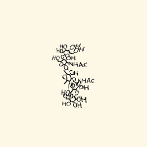 CC(=O)NC1[C@H](OCC2OC(C)C(NC(C)=O)[C@@H](O[C@@H]3OC(CO)[C@@H](O[C@@H]4OC(CO)[C@H](O)[C@H](O)C4O)[C@H](O)C3NC(C)=O)[C@H]2O)OC(CO)[C@@H](O[C@@H]2OC(CO)[C@H](O)[C@H](O)C2O)[C@@H]1O